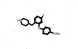 COc1ccc(Oc2cc(F)ccc2CC2CCNCC2)cc1